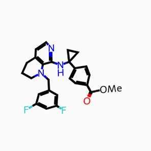 COC(=O)c1ccc(C2(Nc3nccc4c3N(Cc3cc(F)cc(F)c3)CCC4)CC2)cc1